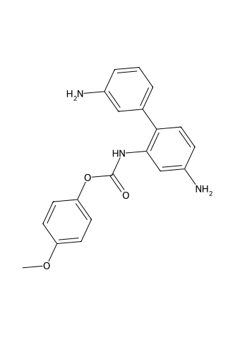 COc1ccc(OC(=O)Nc2cc(N)ccc2-c2cccc(N)c2)cc1